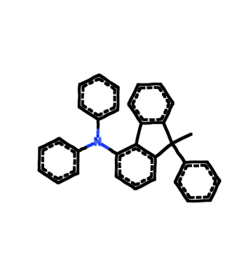 CC1(c2ccccc2)c2ccccc2-c2c(N(c3ccccc3)c3ccccc3)cccc21